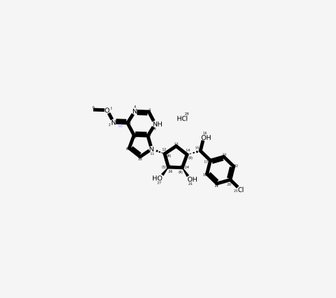 CO/N=c1\nc[nH]c2c1ccn2[C@@H]1C[C@H](C(O)c2ccc(Cl)cc2)[C@@H](O)[C@H]1O.Cl